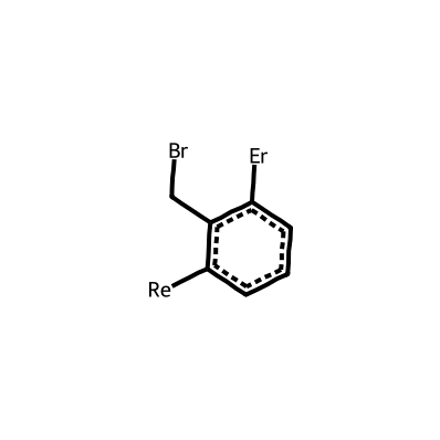 BrCc1[c]([Er])ccc[c]1[Re]